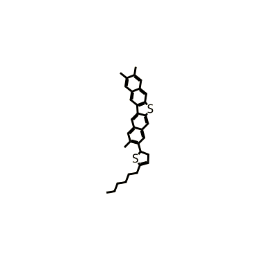 CCCCCCC1=CCC(c2cc3cc4sc5cc6cc(C)c(C)cc6cc5c4cc3cc2C)S1